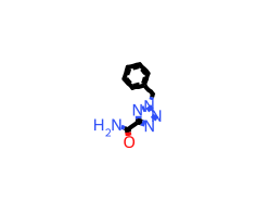 NC(=O)c1nnn(Cc2ccccc2)n1